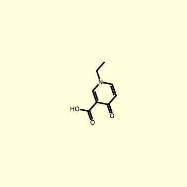 CCn1ccc(=O)c(C(=O)O)c1